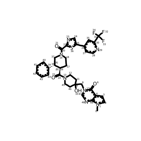 Cn1ccc2c(=O)n(CC3(O)CCN(C(=O)[C@@H]4CCN(C(=O)c5ncc(-c6ccnc(C(F)(F)F)c6)s5)C[C@H]4c4ccccc4)CC3)cnc21